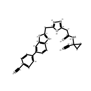 N#Cc1ccc(-c2ccc3nc(Cc4nnc(CC(=O)NC5(C#N)CC5)o4)sc3c2)cc1